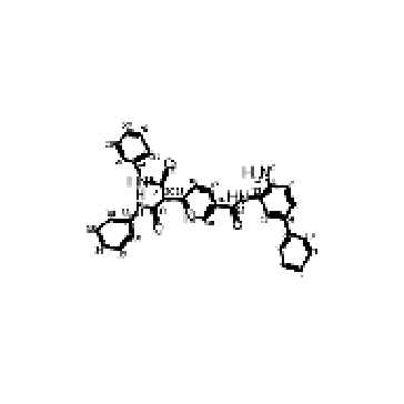 Nc1ccc(-c2ccccc2)cc1NC(=O)c1ccc(C(C(=O)Nc2ccccc2)C(=O)Nc2ccccc2)nc1